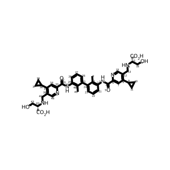 Cc1c(NC(=O)c2cc(C3CC3)c(CN[C@@H](CO)C(=O)O)cn2)cccc1-c1cccc(NC(=O)c2cc(C3CC3)c(CN[C@@H](CO)C(=O)O)cn2)c1C